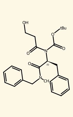 CN(Cc1ccccc1)C(=O)[C@H](Cc1ccccc1)N(C(=O)CCO)C(=O)OC(C)(C)C